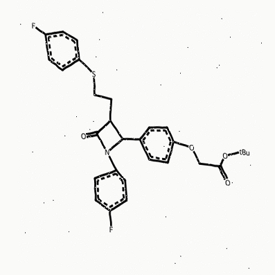 CC(C)(C)OC(=O)COc1ccc(C2C(CCSc3ccc(F)cc3)C(=O)N2c2ccc(F)cc2)cc1